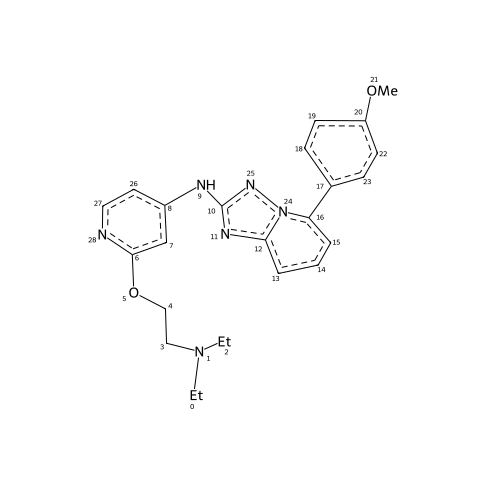 CCN(CC)CCOc1cc(Nc2nc3cccc(-c4ccc(OC)cc4)n3n2)ccn1